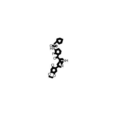 O=C(c1cccc(NS(=O)(=O)Cc2ccccc2)c1F)c1c[nH]c2ncc(-c3cc4c(cc3Cl)OCCO4)cc12